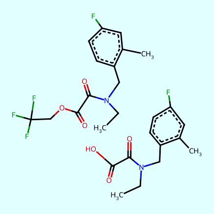 CCN(Cc1ccc(F)cc1C)C(=O)C(=O)O.CCN(Cc1ccc(F)cc1C)C(=O)C(=O)OCC(F)(F)F